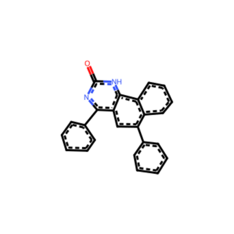 O=c1nc(-c2ccccc2)c2cc(-c3ccccc3)c3ccccc3c2[nH]1